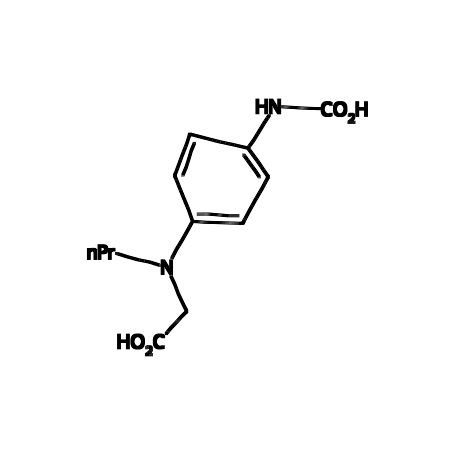 CCCN(CC(=O)O)c1ccc(NC(=O)O)cc1